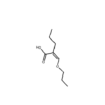 CCCOC=C(CCC)C(=O)O